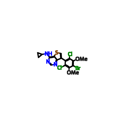 COc1c(Cl)c(-c2csc3c(NC4CC4)ncnc23)c(Cl)c(OC)c1Br